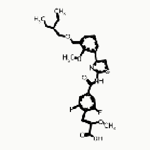 CCC(CC)COCc1cccc(-c2csc(NC(=O)c3cc(F)c(C=C(OC)C(=O)O)c(F)c3)n2)c1OC